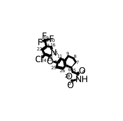 O=C1NC(=O)[C@@H]([C@@H]2CCCc3cc(Oc4ncc(C(F)(F)F)cc4Cl)ccc32)O1